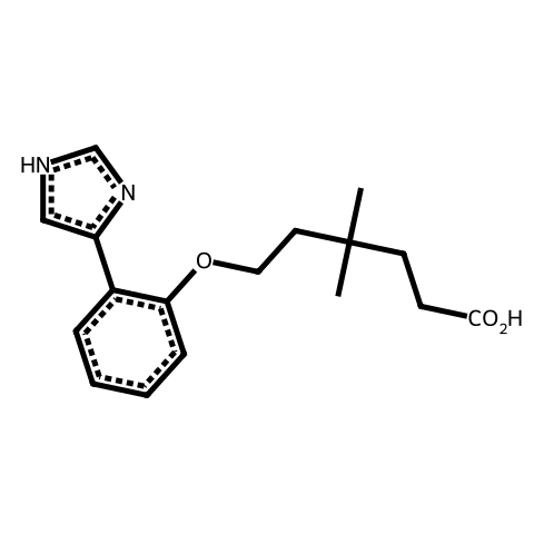 CC(C)(CCOc1ccccc1-c1c[nH]cn1)CCC(=O)O